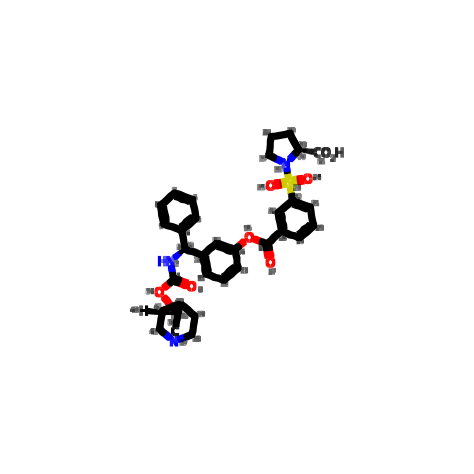 O=C(N[C@@H](c1ccccc1)c1cccc(OC(=O)c2cccc(S(=O)(=O)N3CCC[C@H]3C(=O)O)c2)c1)O[C@H]1CN2CCC1CC2